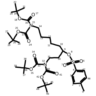 Cc1ccc(S(=O)(=O)OC(CCCCCN(C(=O)OC(C)(C)C)C(=O)OC(C)(C)C)CCN(C(=O)OC(C)(C)C)C(=O)OC(C)(C)C)cc1